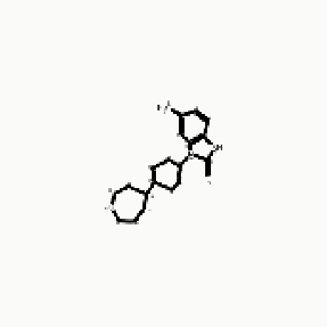 Cc1ccc2[nH]c(=O)n(C3CCC(C4CCCOCC4)CC3)c2c1